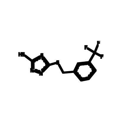 FC(F)(F)c1cccc(CSc2nnc(S)s2)c1